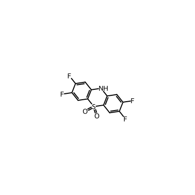 O=S1(=O)c2cc(F)c(F)cc2Nc2cc(F)c(F)cc21